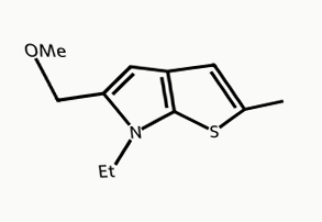 CCn1c(COC)cc2cc(C)sc21